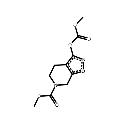 COC(=O)Oc1noc2c1CCN(C(=O)OC)C2